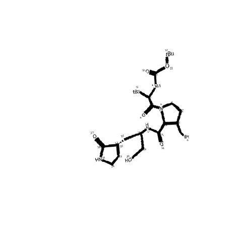 CC(C)C1CCN(C(=O)C(NC(=O)OC(C)(C)C)C(C)(C)C)C1C(=O)NC(CO)C[C@@H]1CCNC1=O